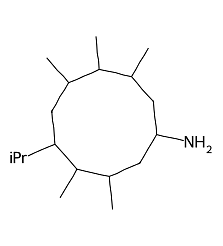 CC(C)C1CC(C)C(C)C(C)CC(N)CC(C)C1C